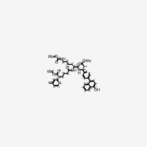 C=C(/C=C\C(=C/C)c1ccc(O)c2ccccc12)[C@H](CC(=O)OC)NC(=O)[C@H](CCCCNC(=O)OC(C)(C)C)NC(=O)CCCN(C(=O)OC(C)(C)C)c1cc(C)ccn1